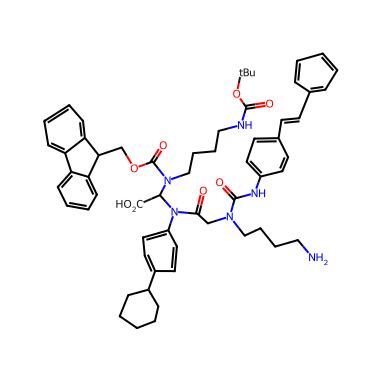 CC(C)(C)OC(=O)NCCCCN(C(=O)OCC1c2ccccc2-c2ccccc21)C(C(=O)O)N(C(=O)CN(CCCCN)C(=O)Nc1ccc(C=Cc2ccccc2)cc1)c1ccc(C2CCCCC2)cc1